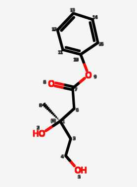 C[C@@](O)(CCO)CC(=O)Oc1ccccc1